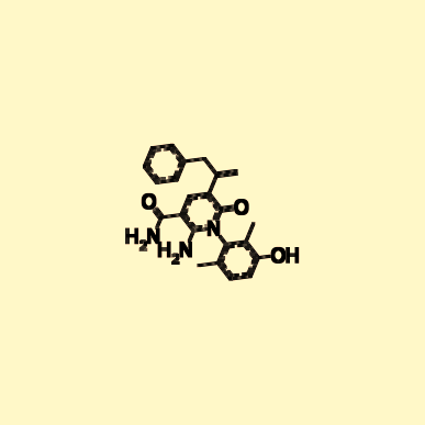 C=C(Cc1ccccc1)c1cc(C(N)=O)c(N)n(-c2c(C)ccc(O)c2C)c1=O